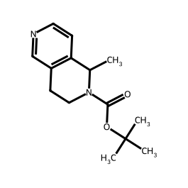 CC1c2ccncc2CCN1C(=O)OC(C)(C)C